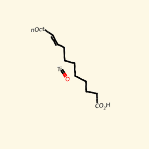 CCCCCCCCC=CCCCCCCCC(=O)O.[O]=[Ti]